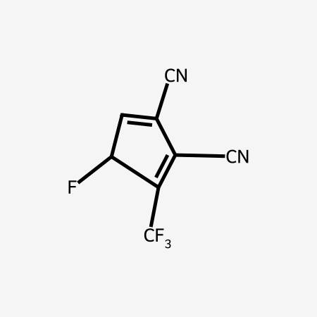 N#CC1=CC(F)C(C(F)(F)F)=C1C#N